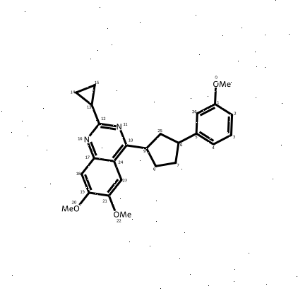 COc1cccc(C2CCC(c3nc(C4CC4)nc4cc(OC)c(OC)cc34)C2)c1